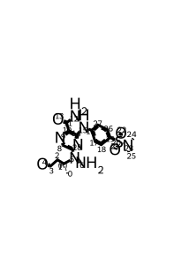 C[C@H](CC=O)N(N)c1cnc(C(N)=O)c(Nc2ccc(S(=O)(=O)N(C)C)cc2)n1